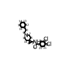 O=C(NC1CC12CCN(CCc1ccccc1)CC2)c1ccc(Cl)c(Cl)c1